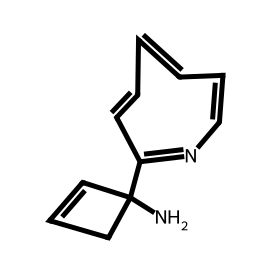 NC1(C2=N/C=C\C=C\C=C\2)C=CC1